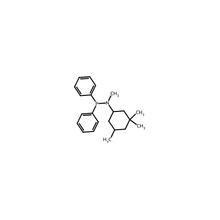 CC1CC(N(C)P(c2ccccc2)c2ccccc2)CC(C)(C)C1